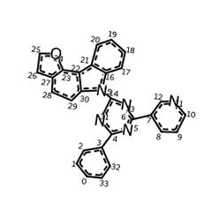 c1ccc(-c2nc(-c3cccnc3)nc(-n3c4ccccc4c4c5occc5ccc43)n2)cc1